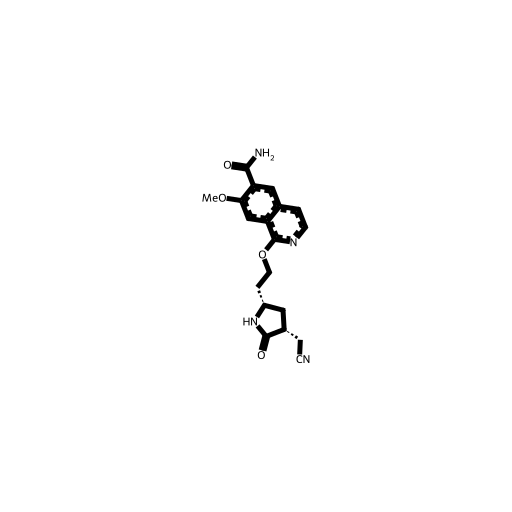 COc1cc2c(OCC[C@@H]3C[C@H](CC#N)C(=O)N3)nccc2cc1C(N)=O